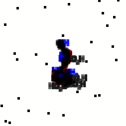 Cc1cc(OCCCC(=O)NCCNC(=O)[C@H](CS(=O)(=O)O)NC(=O)[C@H](CS(=O)(=O)O)NC(=O)[C@H](CS(=O)(=O)O)NC(=O)CN(CCN)CCN(CCN(CCCCC(=O)O)CC(=O)O)CC(=O)O)cc(C)c1S(=O)(=O)N[C@@H](CNC(=O)c1ccc(CCc2ccc3c(n2)NCCC3)cc1)C(=O)O